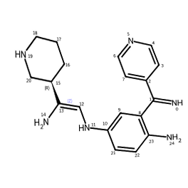 N=C(c1ccncc1)c1cc(N/C=C(\N)[C@@H]2CCCNC2)ccc1N